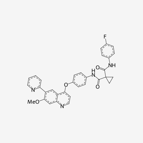 COc1cc2nccc(Oc3ccc(NC(=O)C4(C(=O)Nc5ccc(F)cc5)CC4)cc3)c2cc1-c1ccccn1